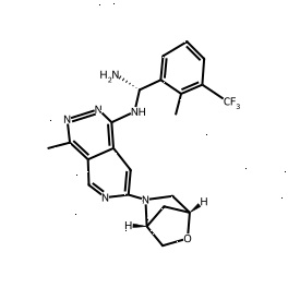 Cc1c([C@@H](N)Nc2nnc(C)c3cnc(N4C[C@H]5C[C@@H]4CO5)cc23)cccc1C(F)(F)F